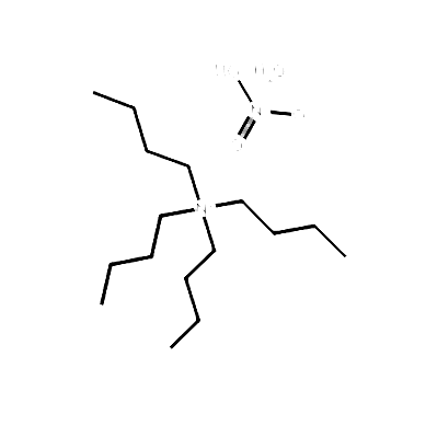 CCCC[N+](CCCC)(CCCC)CCCC.O.O=[N+]([O-])O